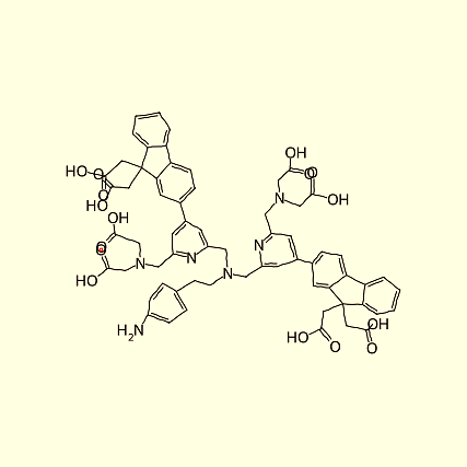 Nc1ccc(CCN(Cc2cc(-c3ccc4c(c3)C(CC(=O)O)(CC(=O)O)c3ccccc3-4)cc(CN(CC(=O)O)CC(=O)O)n2)Cc2cc(-c3ccc4c(c3)C(CC(=O)O)(CC(=O)O)c3ccccc3-4)cc(CN(CC(=O)O)CC(=O)O)n2)cc1